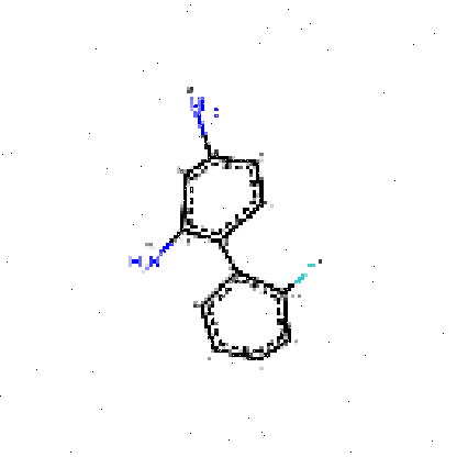 Nc1ccc(-c2ccccc2F)c(N)c1